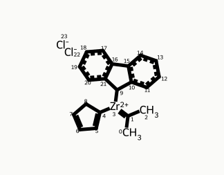 C[C](C)=[Zr+2]([C]1=CC=CC1)[CH]1c2ccccc2-c2ccccc21.[Cl-].[Cl-]